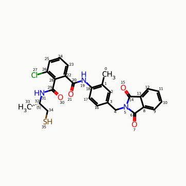 Cc1cc(CN2C(=O)c3ccccc3C2=O)ccc1NC(=O)c1cccc(Cl)c1C(=O)N[C@@H](C)CS